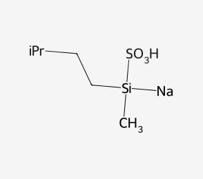 CC(C)CC[Si](C)([Na])S(=O)(=O)O